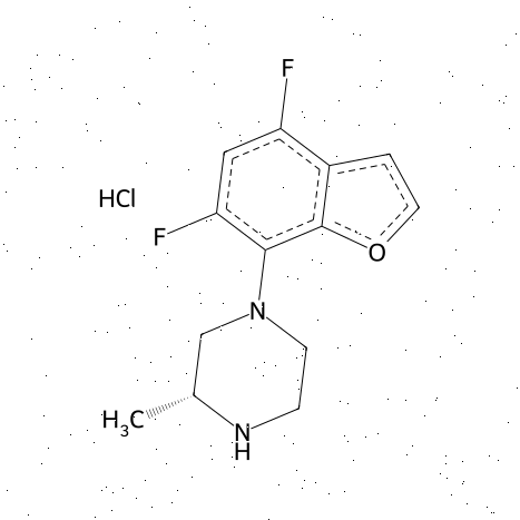 C[C@@H]1CN(c2c(F)cc(F)c3ccoc23)CCN1.Cl